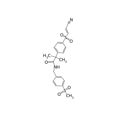 CC(C)(C(=O)NCc1ccc(S(C)(=O)=O)cc1)c1ccc(S(=O)(=O)C=CC#N)cc1